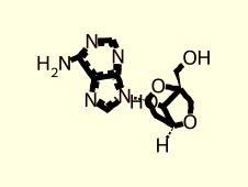 Nc1ncnc2c1ncn2[C@H]1C[C@@H]2OC[C@@](CO)(O1)C2O